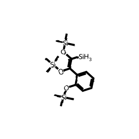 C[Si](C)(C)OC([SiH3])=C(O[Si](C)(C)C)c1ccccc1O[Si](C)(C)C